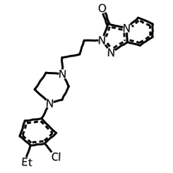 CCc1ccc(N2CCN(CCCn3nc4ccccn4c3=O)CC2)cc1Cl